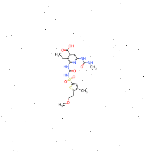 CCc1c(C(=O)O)cc(NC(=O)NC)nc1NC(=O)NS(=O)(=O)c1cc(C)c(CCOC)s1